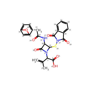 C=C(C)C(C(=O)O)N1C(=O)C(NC(C)=O)C1SN1C(=O)c2ccccc2C1=O.c1cc2cc(c1)O2